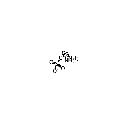 O=S(=O)([O-])[O-].[NH3+][Co].[NH3+][Co]